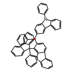 c1ccc(N(c2ccc3c(c2)c2ccccc2n3-c2ccccc2)c2ccc3c(oc4ccccc43)c2C2(c3ccccc3)c3ccccc3-c3ccccc32)cc1